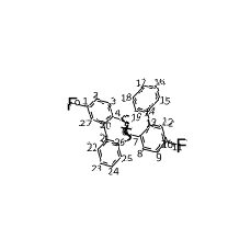 Fc1ccc(SSc2ccc(F)cc2-c2ccccc2)c(-c2ccccc2)c1